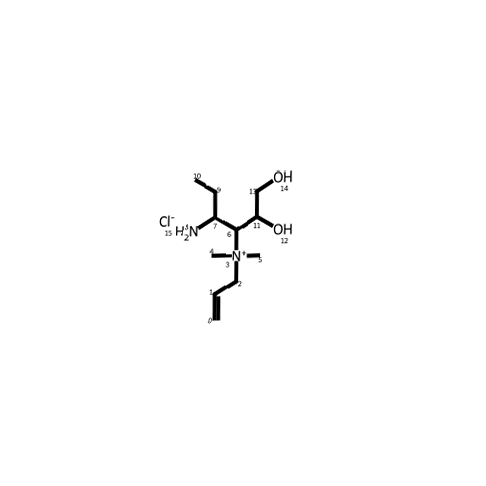 C=CC[N+](C)(C)C(C(N)CC)C(O)CO.[Cl-]